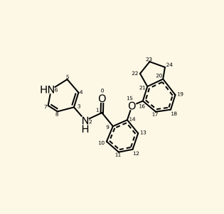 O=C(NC1=CCNC=C1)c1ccccc1Oc1cccc2c1CCC2